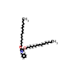 CCCCCC=CCC=CCCCCCCCCO[C@@H]1CN(Cc2ccccc2)C[C@H]1OCCCCCCCCC=CCC=CCCCCC